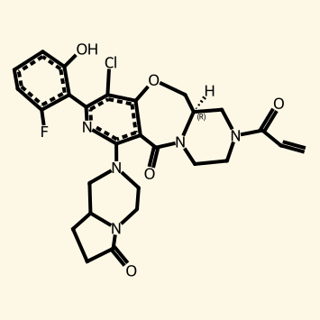 C=CC(=O)N1CCN2C(=O)c3c(N4CCN5C(=O)CCC5C4)nc(-c4c(O)cccc4F)c(Cl)c3OC[C@H]2C1